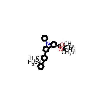 CC1(C)OB(c2ccc3c(c2)c2cc(-c4ccc5c(c4)[Si](C)(C)c4ccccc4-5)ccc2n3-c2ccccc2)OC1(C)C